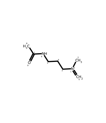 C=[N+](C)CCCNC(C)=O